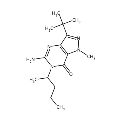 CCCC(C)n1c(N)nc2c(C(C)(C)C)nn(C)c2c1=O